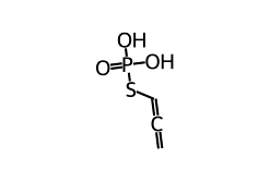 C=C=CSP(=O)(O)O